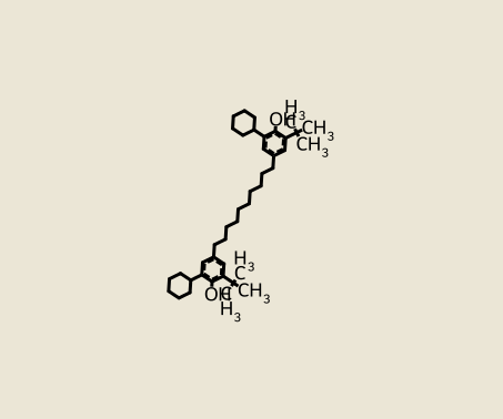 CC(C)(C)c1cc(CCCCCCCCCCc2cc(C3CCCCC3)c(O)c(C(C)(C)C)c2)cc(C2CCCCC2)c1O